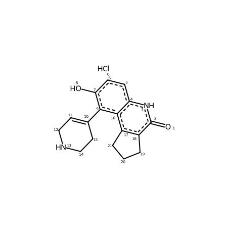 Cl.O=c1[nH]c2ccc(O)c(C3=CCNCC3)c2c2c1CCC2